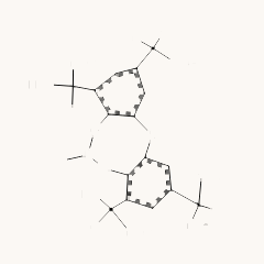 CCCCCC(C)(C)c1cc2c(c(C(C)(C)CCCCC)c1)OP(F)Oc1c(cc(C(C)(C)CCCCC)cc1C(C)(C)CCCCC)S2